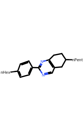 CCCCCCc1ccc(-c2ncc3c(n2)CCC(CCCCC)C3)cc1